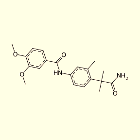 COc1ccc(C(=O)Nc2ccc(C(C)(C)C(N)=O)c(C)c2)cc1OC